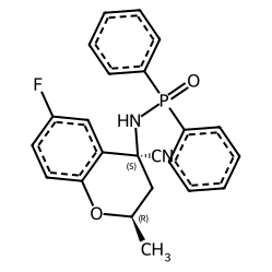 C[C@@H]1C[C@](C#N)(NP(=O)(c2ccccc2)c2ccccc2)c2cc(F)ccc2O1